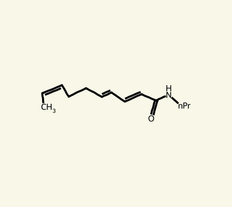 C/C=C\CC/C=C/C=C/C(=O)NCCC